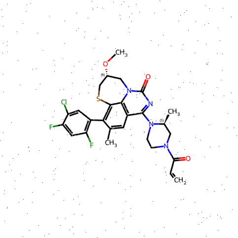 C=CC(=O)N1CCN(c2nc(=O)n3c4c(c(-c5cc(Cl)c(F)cc5F)c(C)cc24)SC[C@H](OC)C3)[C@@H](C)C1